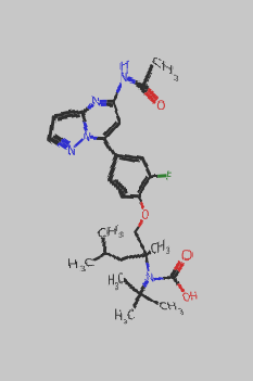 CC(=O)Nc1cc(-c2ccc(OCC(C)(CC(C)C)N(C(=O)O)C(C)(C)C)c(F)c2)n2nccc2n1